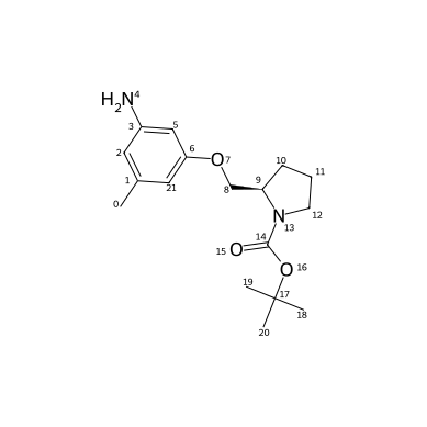 Cc1cc(N)cc(OC[C@H]2CCCN2C(=O)OC(C)(C)C)c1